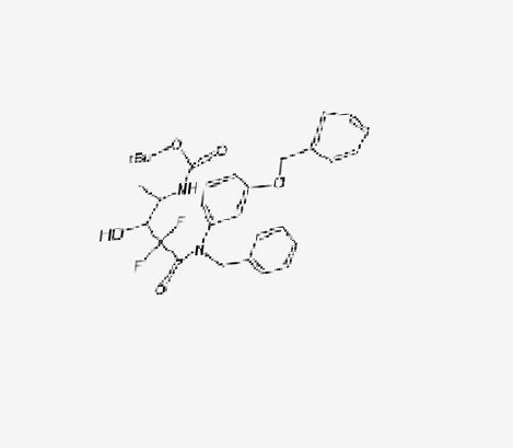 CC(NC(=O)OC(C)(C)C)C(O)C(F)(F)C(=O)N(Cc1ccccc1)c1cccc(OCc2ccccc2)c1